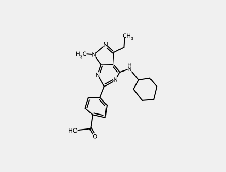 CCc1nn(C)c2nc(-c3ccc(C(=O)O)cc3)nc(NC3CCCCC3)c12